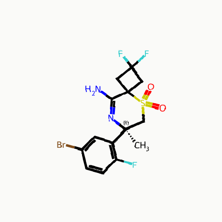 C[C@@]1(c2cc(Br)ccc2F)CS(=O)(=O)C2(CC(F)(F)C2)C(N)=N1